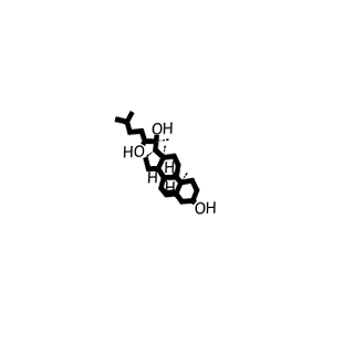 CC(C)CCC(O)[C@@](C)(O)[C@H]1CC[C@H]2[C@@H]3CC=C4CC(O)CC[C@]4(C)[C@H]3CC[C@@]21C